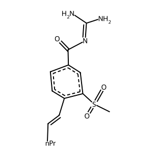 CCCC=Cc1ccc(C(=O)N=C(N)N)cc1S(C)(=O)=O